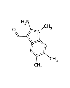 Cc1cc2c(C=O)c(N)n(C)c2nc1C